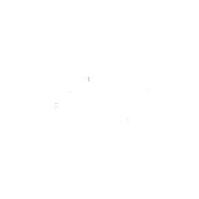 [O]C(=O)OCCC(F)(F)Br